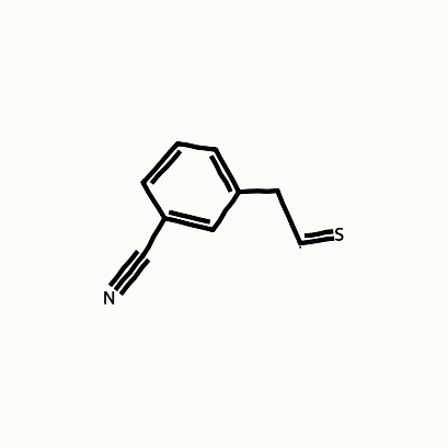 N#Cc1cccc(C[C]=S)c1